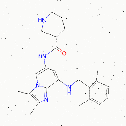 Cc1cccc(C)c1CNc1cc(NC(=O)[C@H]2CCCNC2)cn2c(C)c(C)nc12